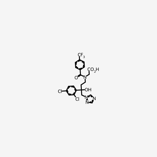 O=C(O)CN(CCC(O)(Cn1cncn1)c1ccc(Cl)cc1Cl)C(=O)c1ccc(C(F)(F)F)cc1